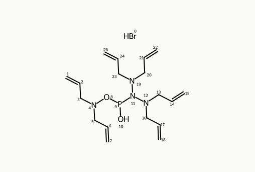 Br.C=CCN(CC=C)OP(O)N(N(CC=C)CC=C)N(CC=C)CC=C